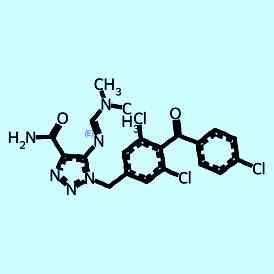 CN(C)/C=N/c1c(C(N)=O)nnn1Cc1cc(Cl)c(C(=O)c2ccc(Cl)cc2)c(Cl)c1